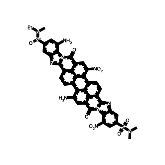 CCN(C)[S+]([O-])c1cc(N)c2c(c1)nc1c3ccc4c5c(N)cc6c(=O)n7c(nc8cc(S(=O)(=O)N(C)C)cc([N+](=O)[O-])c87)c7ccc(c8c([N+](=O)[O-])cc(c(=O)n12)c3c48)c5c67